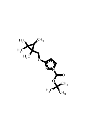 CC1C(C)(C)C1(C)COc1ccn(C(=O)OC(C)(C)C)n1